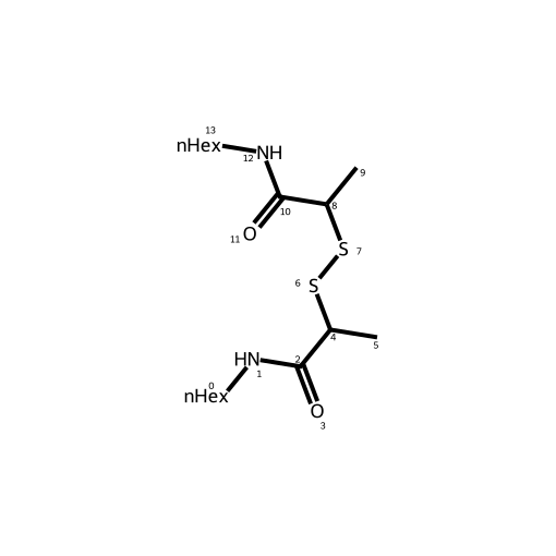 CCCCCCNC(=O)C(C)SSC(C)C(=O)NCCCCCC